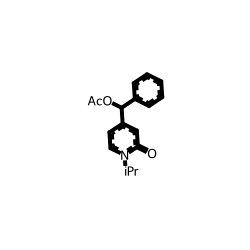 CC(=O)OC(c1ccccc1)c1ccn(C(C)C)c(=O)c1